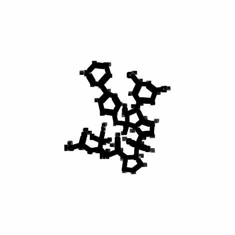 CC1(Cc2ccc(-c3cncnc3)cc2)C(=O)N(c2cc(Cl)cc(Cl)c2)c2ncc(S(=O)(=O)N3CCCC3C(=O)NC(CC(=O)O)C(F)(F)F)n21